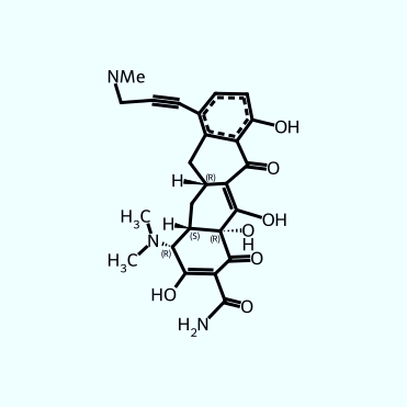 CNCC#Cc1ccc(O)c2c1C[C@H]1C[C@H]3[C@@H](N(C)C)C(O)=C(C(N)=O)C(=O)[C@]3(O)C(O)=C1C2=O